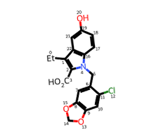 CCc1c(C(=O)O)n(Cc2cc3c(cc2Cl)OCO3)c2ccc(O)cc12